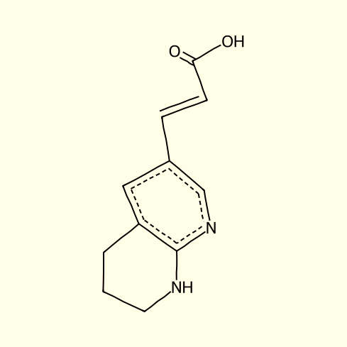 O=C(O)/C=C/c1cnc2c(c1)CCCN2